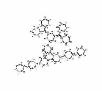 c1ccc(-c2ccc(-c3ccc4c5ccc(-c6ccc(-c7ccccc7)cc6)cc5c5nc(-c6cc(-n7c8ccccc8c8ccccc87)cc(-n7c8ccccc8c8ccccc87)c6)cnc5c4c3)cc2)cc1